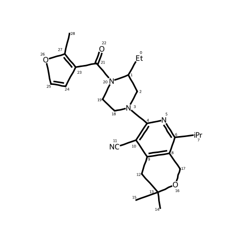 CCC1CN(c2nc(C(C)C)c3c(c2C#N)CC(C)(C)OC3)CCN1C(=O)c1ccoc1C